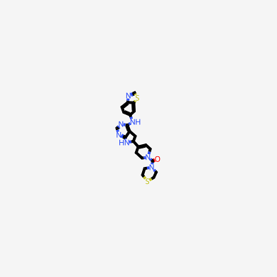 O=C(N1CC=C(C2Cc3c(Nc4ccc5ncsc5c4)ncnc3N2)CC1)N1CCSCC1